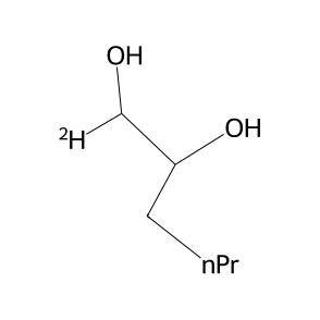 [2H]C(O)C(O)CCCC